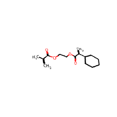 C=C(C)C(=O)OCCOC(=O)C(=C)C1CCCCC1